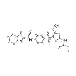 C=CC(=O)NC1CC(CO)N(S(=O)(=O)c2ccc(NC(=O)c3cc4c(s3)CCCC4)cc2)C1